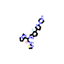 O=C(Nc1nccs1)C(c1ncn2c1CCC2)n1cc2c(F)c(-c3ccc(N4CCNCC4)nc3)ccc2n1